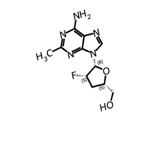 Cc1nc(N)c2ncn([C@@H]3O[C@H](CO)C[C@@H]3F)c2n1